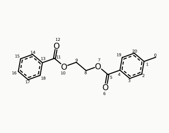 Cc1ccc(C(=O)OCCOC(=O)c2ccccc2)cc1